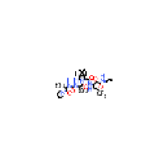 C=CCNC(=O)C(=O)C(CCC(F)(F)F)NC(=O)[C@@H]1[C@@H]2[C@H](CN1C(=O)[C@@H](NC(=O)N[C@H](C(=O)N1CCCC1)C(C)(C)C)C(C)(C)C)C2(C)C